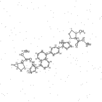 CC1CC[C@@H](c2ncc(-c3ccc(-c4cccc5c(-c6cnc([C@@H]7CC8CC8N7C(=O)OC(C)(C)C)[nH]6)cccc45)cc3)[nH]2)N1C(=O)OC(C)(C)C